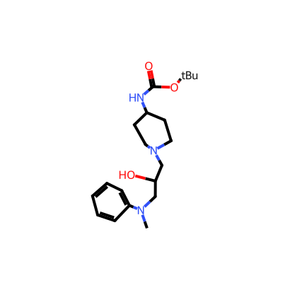 CN(CC(O)CN1CCC(NC(=O)OC(C)(C)C)CC1)c1ccccc1